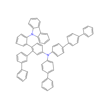 c1ccc(-c2ccc(-c3ccc(N(c4ccc(-c5ccccc5)cc4)c4ccc(-c5ccccc5-n5c6ccccc6c6ccccc65)c(-c5cccc(-c6ccccc6)c5)c4)cc3)cc2)cc1